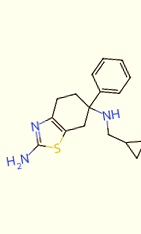 Nc1nc2c(s1)CC(NCC1CC1)(c1ccccc1)CC2